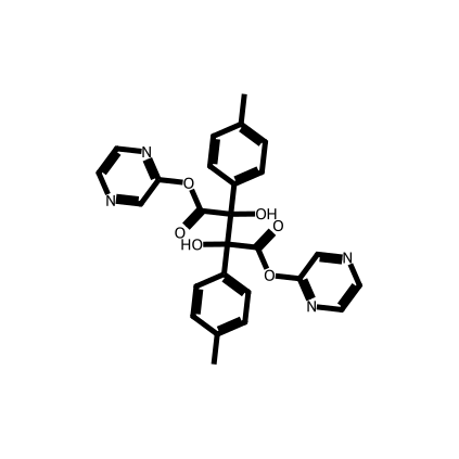 Cc1ccc(C(O)(C(=O)Oc2cnccn2)C(O)(C(=O)Oc2cnccn2)c2ccc(C)cc2)cc1